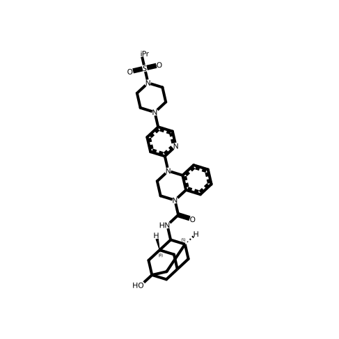 CC(C)S(=O)(=O)N1CCN(c2ccc(N3CCN(C(=O)NC4[C@@H]5CC6C[C@H]4CC(O)(C6)C5)c4ccccc43)nc2)CC1